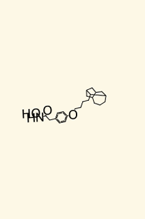 O=C(Cc1ccc(OCCCCC2C3CCCC4CC2CC4C3)cc1)NO